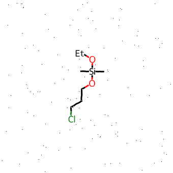 CCO[Si](C)(C)OCCCCl